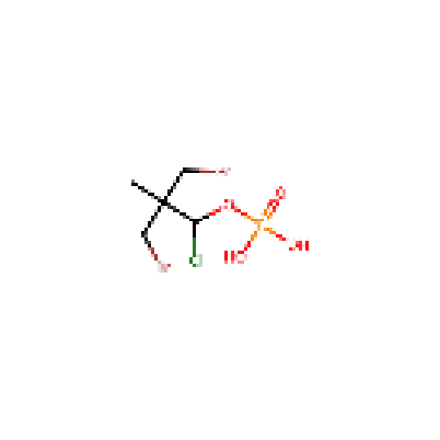 CC(CBr)(CBr)C(Cl)OP(=O)(O)O